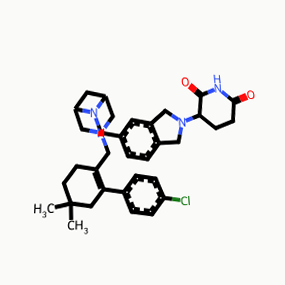 CC1(C)CCC(CN2CC3CC(C2)N3Cc2ccc3c(c2)CN(C2CCC(=O)NC2=O)C3)=C(c2ccc(Cl)cc2)C1